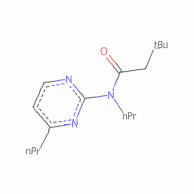 CCCc1ccnc(N(CCC)C(=O)CC(C)(C)C)n1